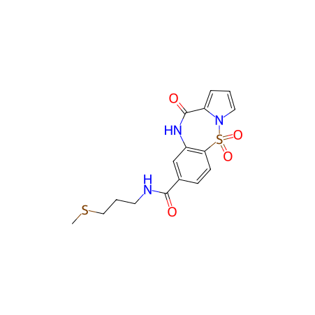 CSCCCNC(=O)c1ccc2c(c1)NC(=O)c1cccn1S2(=O)=O